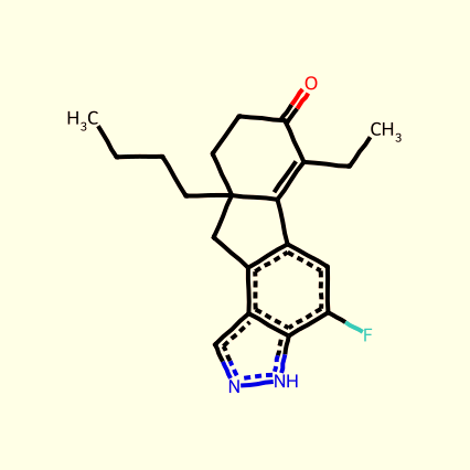 CCCCC12CCC(=O)C(CC)=C1c1cc(F)c3[nH]ncc3c1C2